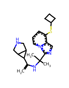 C=C(NC(C)(C)c1ncc2c(SC3CCC3)cccn12)C1C2CNCC21